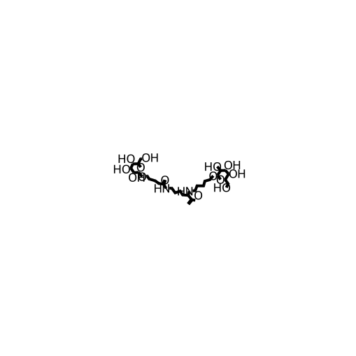 C=C(C)C(CCCCNC(=O)CCCCOC1OC(CO)C(O)C(O)C1O)NC(=O)CCCCOC1OC(CO)C(O)C(O)C1O